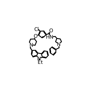 CCn1c2ccccc2c2cc(CN3CCC(Oc4ccc(C(=O)NCC5CCN(Cc6ccccc6)C5)cc4Cl)CC3)ccc21